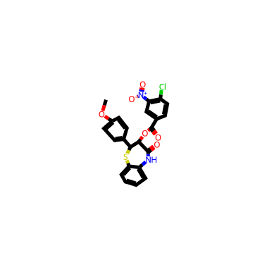 COc1ccc(C2Sc3ccccc3NC(=O)C2OC(=O)c2ccc(Cl)c([N+](=O)[O-])c2)cc1